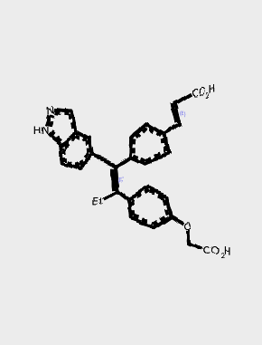 CC/C(=C(/c1ccc(/C=C/C(=O)O)cc1)c1ccc2[nH]ncc2c1)c1ccc(OCC(=O)O)cc1